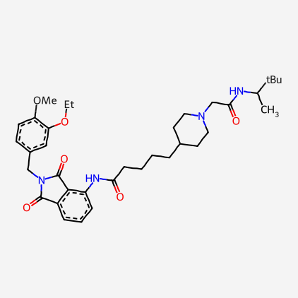 CCOc1cc(CN2C(=O)c3cccc(NC(=O)CCCCC4CCN(CC(=O)NC(C)C(C)(C)C)CC4)c3C2=O)ccc1OC